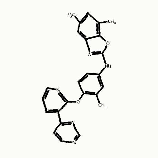 Cc1cc(C)c2oc(Nc3ccc(Oc4ncccc4-c4ccncn4)c(C)c3)nc2c1